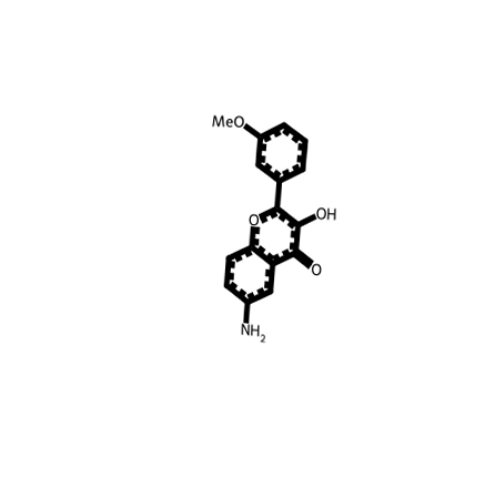 COc1cccc(-c2oc3ccc(N)cc3c(=O)c2O)c1